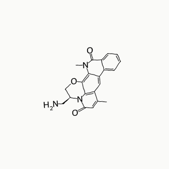 Cc1cc(=O)n2c3c(c4c(cc13)c1ccccc1c(=O)n4C)OC[C@@H]2CN